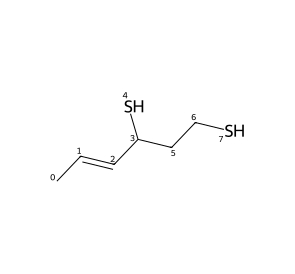 CC=CC(S)CCS